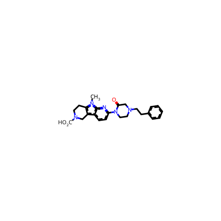 Cn1c2c(c3ccc(N4CCN(CCc5ccccc5)CC4=O)nc31)CN(C(=O)O)CC2